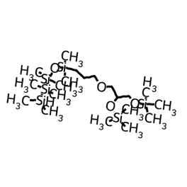 C[SiH](C)[Si](C)(C)[Si](C)(C)O[Si](C)(C)CCCOCC(CO[Si](C)(C)C)O[Si](C)(C)C